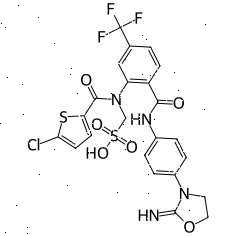 N=C1OCCN1c1ccc(NC(=O)c2ccc(C(F)(F)F)cc2N(CS(=O)(=O)O)C(=O)c2ccc(Cl)s2)cc1